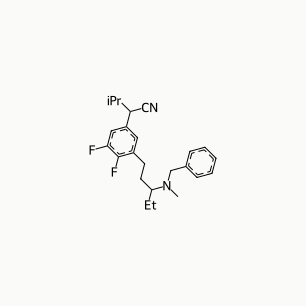 CCC(CCc1cc(C(C#N)C(C)C)cc(F)c1F)N(C)Cc1ccccc1